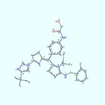 Cc1ccccc1CNc1ccc(/C(=C2/C=CC(n3cc(C(C)(C)C)nn3)=N2)c2ccc(NC(=O)CO)cc2)n1B(F)F